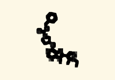 CCn1ncc(-c2nc3c(O[C@H]4CCN(C(=O)OCc5ccccc5)C4)ncnc3n2C)c1C